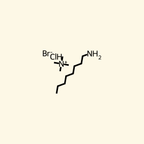 CCCCCCCCN.C[N+](C)(C)C.Cl.[Br-]